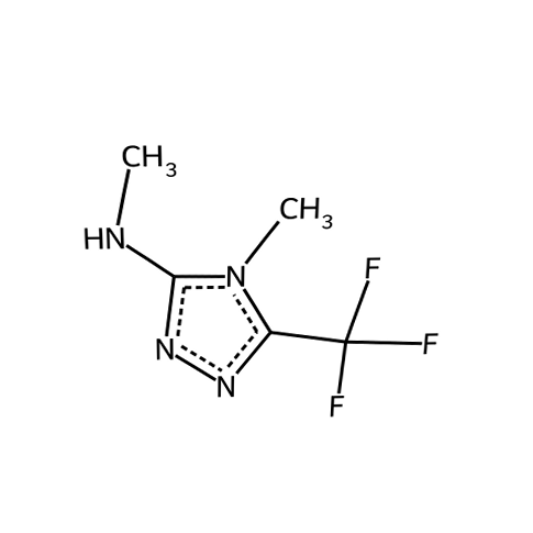 CNc1nnc(C(F)(F)F)n1C